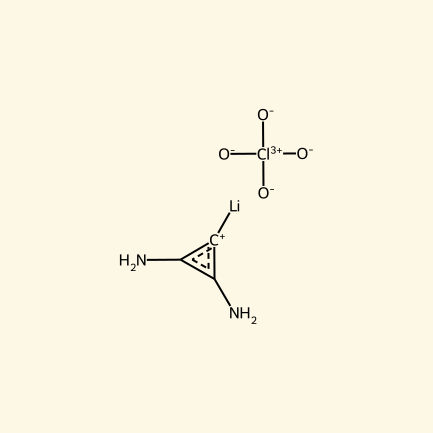 [Li][c+]1c(N)c1N.[O-][Cl+3]([O-])([O-])[O-]